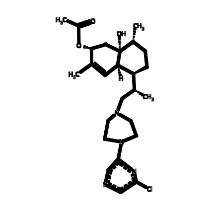 CC(=O)O[C@@H]1[C][C@@]2(O)[C@H](C)CC[C@@H]([C@H](C)CN3CCN(c4cncc(Cl)n4)CC3)[C@H]2C=C1C